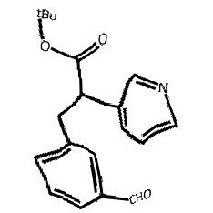 CC(C)(C)OC(=O)C(Cc1cccc(C=O)c1)c1cccnc1